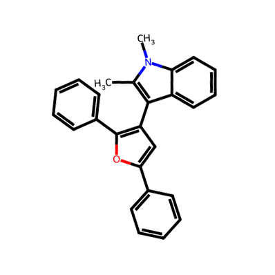 Cc1c(-c2cc(-c3ccccc3)oc2-c2ccccc2)c2ccccc2n1C